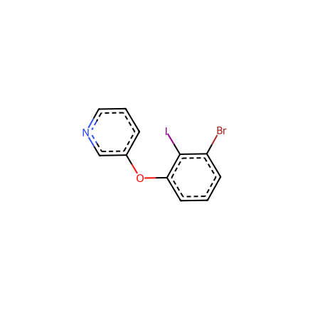 Brc1cccc(Oc2cccnc2)c1I